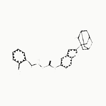 O=C(NNCc1ccccc1Cl)Nc1ccc2[nH]c(C34CC5CC(CC(C5)C3)C4)cc2c1